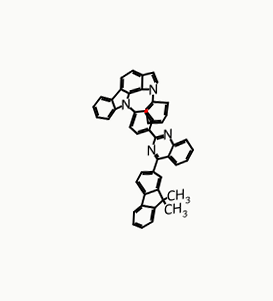 CC1(C)c2ccccc2-c2ccc(-c3nc(-c4ccc(-n5c6ccccc6c6ccc7ccn(-c8ccccc8)c7c65)cc4)nc4ccccc34)cc21